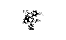 CC(C)(C)OC(=O)N(C(=O)OC(C)(C)C)c1ncnc2nn(CC(F)(F)F)c(Oc3cc(C(F)(F)F)ccn3)c12